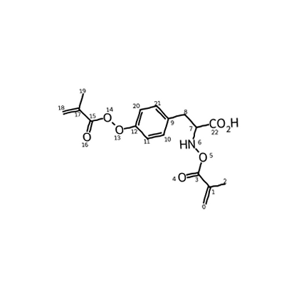 C=C(C)C(=O)ONC(Cc1ccc(OOC(=O)C(=C)C)cc1)C(=O)O